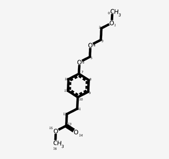 COCCOCOc1ccc(CCC(=O)OC)cc1